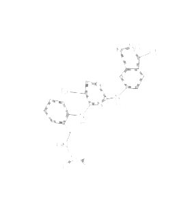 O=[SH](=O)NCc1ccccc1Nc1nc(Nc2ccc3c(Cl)[nH]nc3c2)ncc1Br